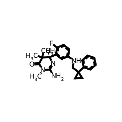 CN1C(=O)C(C)(C)[C@@](C)(c2cc(NCC3(c4ccccc4)CC3)ccc2F)N=C1N